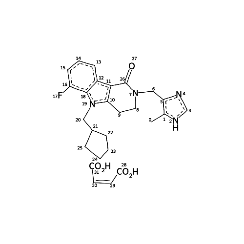 Cc1[nH]cnc1CN1CCc2c(c3cccc(F)c3n2CC2CCCC2)C1=O.O=C(O)/C=C\C(=O)O